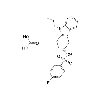 CCCn1c2c(c3ccccc31)C[C@H](NS(=O)(=O)c1ccc(F)cc1)CC2.O=C(O)O